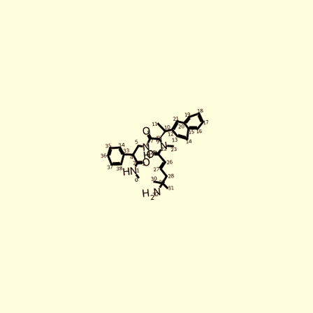 CNC(=O)C(CNC(=O)[C@@H](C(C)c1ccc2ccccc2c1)N(C)C(=O)C=CCC(C)(C)N)c1ccccc1